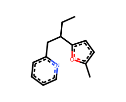 CCC(Cc1ccccn1)c1ccc(C)o1